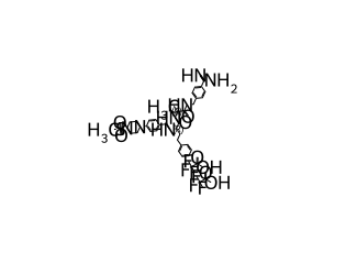 C[C@H](NC(=O)[C@@H](CCc1ccccc1)NCc1ccc(N2CCN(S(C)(=O)=O)CC2)cc1)C(=O)NCc1ccc(C(=N)N)cc1.O=C(O)C(F)(F)F.O=C(O)C(F)(F)F